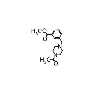 COC(=O)c1cccc(CN2CCN(C(C)=O)CC2)c1